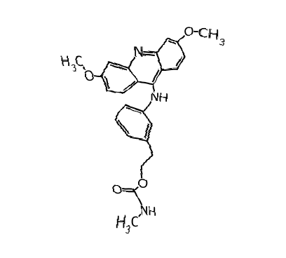 CNC(=O)OCCc1cccc(Nc2c3ccc(OC)cc3nc3cc(OC)ccc23)c1